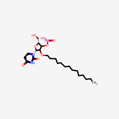 CCCCCCCCCCCCCCOC1C(O[PH](=O)O)[C@@H](CO)O[C@H]1n1ccc(=O)[nH]c1=O